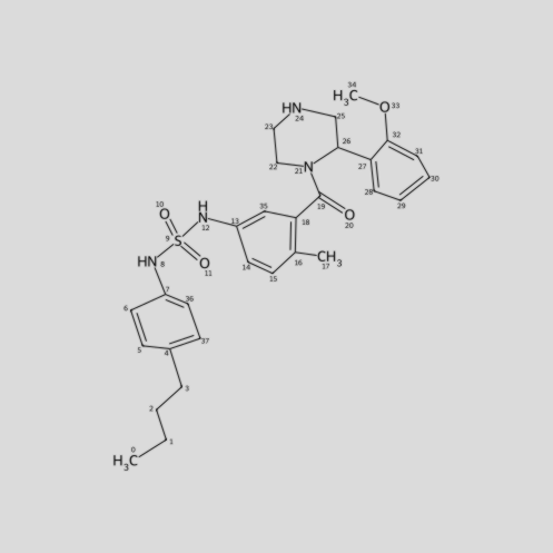 CCCCc1ccc(NS(=O)(=O)Nc2ccc(C)c(C(=O)N3CCNCC3c3ccccc3OC)c2)cc1